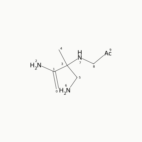 C=C(N)C(C)(CN)NCC(C)=O